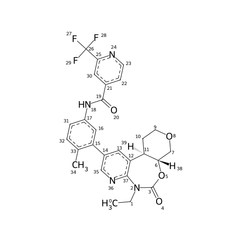 CCN1C(=O)O[C@H]2COCC[C@@H]2c2cc(-c3cc(NC(=O)c4ccnc(C(F)(F)F)c4)ccc3C)cnc21